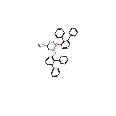 CC(C)[CH2][Al]([O]c1cccc(-c2ccccc2)c1-c1ccccc1)[O]c1cccc(-c2ccccc2)c1-c1ccccc1